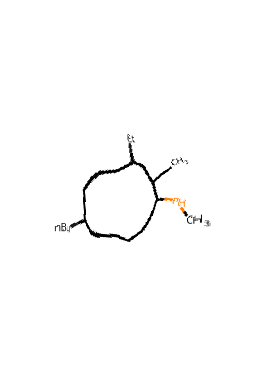 CCCCC1CCCC(PC)C(C)C(CC)CC1